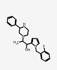 CC(C(O)c1cccn1Cc1ccccc1F)N1CCNC(c2ccccc2)C1